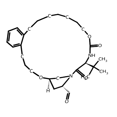 CC(C)(C)[C@@H]1NC(=O)OCCCCCCCc2ccccc2CCCO[C@@H]2C[C@@H](C=O)N(C2)C1=O